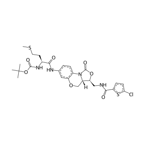 CSCC[C@H](NC(=O)OC(C)(C)C)C(=O)Nc1ccc2c(c1)OC[C@H]1[C@H](CNC(=O)c3ccc(Cl)s3)OC(=O)N21